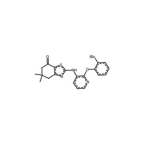 CC1(C)CC(=O)c2sc(Nc3cccnc3Oc3ccccc3C(C)(C)C)nc2C1